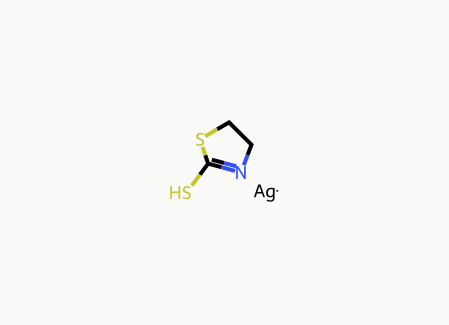 SC1=NCCS1.[Ag]